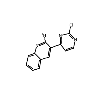 [2H]c1nc2ccccc2cc1-c1ccnc(Cl)n1